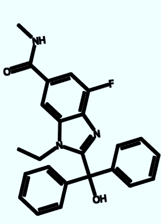 CCn1c(C(O)(c2ccccc2)c2ccccc2)nc2c(F)cc(C(=O)NC)cc21